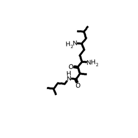 CC(C)CCNC(=O)C(C)C(=O)C(N)CCC(N)CC(C)C